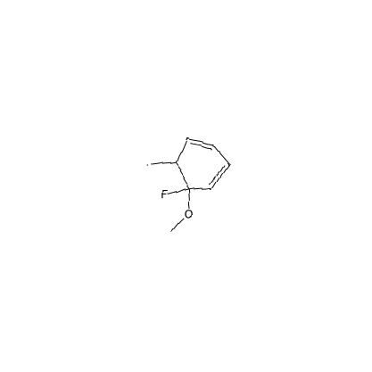 [CH2]C1C=CC=CC1(F)OC